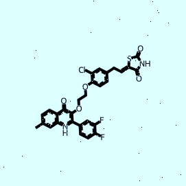 Cc1ccc2c(=O)c(OCCOc3ccc(CC=C4SC(=O)NC4=O)cc3Cl)c(-c3ccc(F)c(F)c3)[nH]c2c1